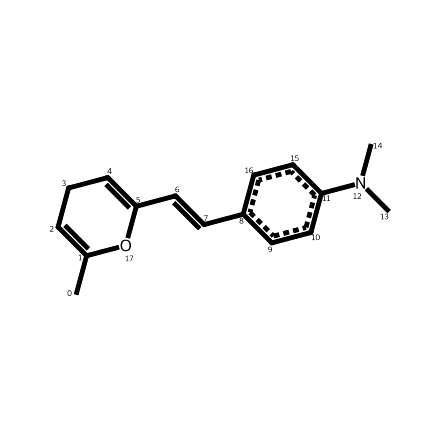 CC1=CCC=C(C=Cc2ccc(N(C)C)cc2)O1